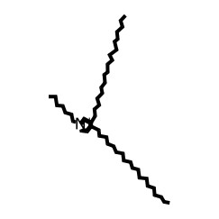 CCCCCCCCCCCCCCCCCCCc1cc[n+](CCCCCCC)cc1CCCCCCCCCCCCCCCCCCC